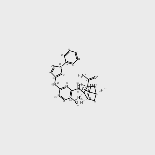 CC1(C)[C@H]2C[C@H](C(N)=O)[C@H](Nc3nc(Nc4cnn(-c5ccccc5)c4)ncc3Cl)[C@@H]1C2